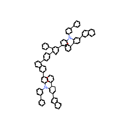 C1=C(c2ccc3ccccc3c2)C=C(N(c2ccc(-c3ccc4c(-c5ccc(-c6ccc(-c7ccc(N(c8cccc(-c9ccccc9)c8)c8cc(-c9ccc%10ccccc%10c9)ccc8-c8ccccc8)cc7)cc6-c6ccccc6)cc5)cccc4c3)cc2)c2cccc(-c3ccccc3)c2)C(c2ccccc2)C1